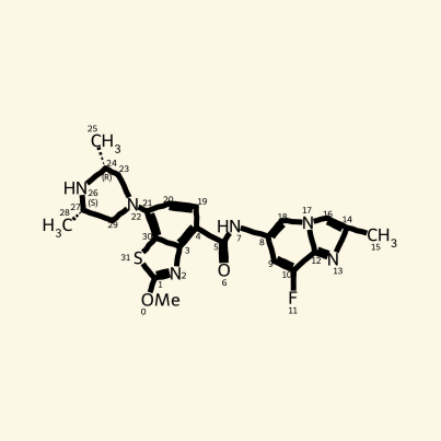 COc1nc2c(C(=O)Nc3cc(F)c4nc(C)cn4c3)ccc(N3C[C@@H](C)N[C@@H](C)C3)c2s1